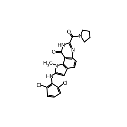 Cn1c(Nc2c(Cl)cccc2Cl)cc2ccc3nc(C(=O)N4CCCC4)[nH]c(=O)c3c21